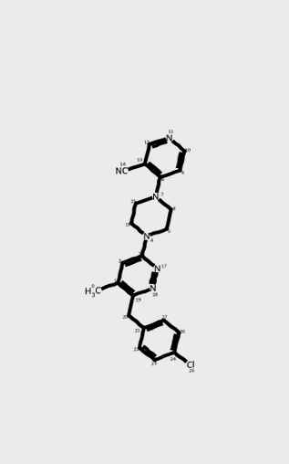 Cc1cc(N2CCN(c3ccncc3C#N)CC2)nnc1Cc1ccc(Cl)cc1